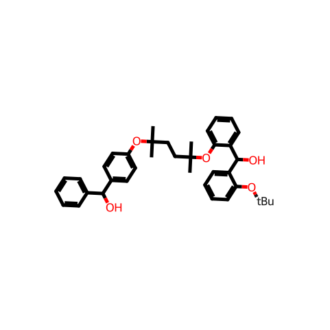 CC(C)(C)Oc1ccccc1C(O)c1ccccc1OC(C)(C)CCC(C)(C)Oc1ccc(C(O)c2ccccc2)cc1